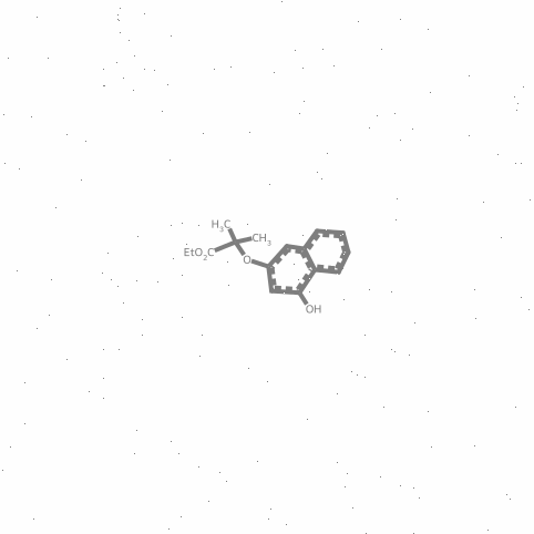 CCOC(=O)C(C)(C)Oc1cc(O)c2ccccc2c1